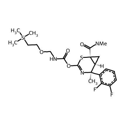 CNC(=O)[C@]12C[C@H]1[C@@](C)(c1cccc(F)c1F)N=C(OC(=O)NCOCC[Si](C)(C)C)S2